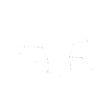 CCC1(C(=O)O)C=CNC(CC)(C(=O)O)C1